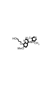 COc1ccc2c(Nc3c(C)cncc3C)ccnc2c1OCCCO